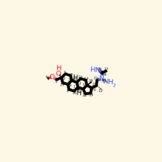 COC[C@@]1(O)CC[C@H]2C(CC[C@@H]3C2CC[C@@]2(C)C3CCC2[C@@H](C)CN(N)C(C)=N)C1